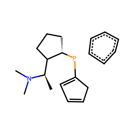 C[C@H](C1CCC[C@@H]1[P@](C1=CC=CC1)c1ccccc1)N(C)C